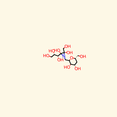 OC[C@@H]1C[C@H](O)[C@@H](O)C(CN2[C@](O)([C@H](O)[C@@H](O)CO)[C@]2(O)CO)O1